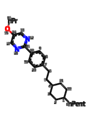 CCCCCC1CCC(CCc2ccc(-c3ncc(OCCC)cn3)cc2)CC1